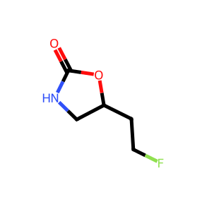 O=C1NCC(CCF)O1